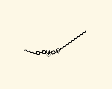 CCCCCCCCCCCCCCCCCCCCOC(C)c1ccc(C(=O)Oc2ccc(-c3ccc(CCCCCCC)cc3)cc2)cc1